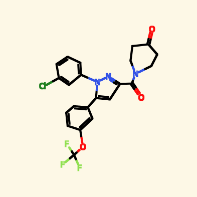 O=C1CCN(C(=O)c2cc(-c3cccc(OC(F)(F)F)c3)n(-c3cccc(Cl)c3)n2)CC1